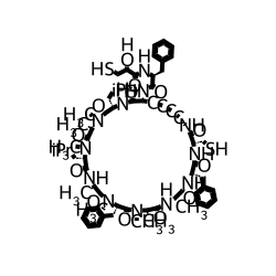 CC(C)C[C@@H]1NC(=O)[C@H](NC(=O)[C@H](Cc2ccccc2)NC(=O)C(O)CS)CCCCNC(=O)[C@H](CS)NC(=O)[C@H](Cc2ccccc2)NC(=O)[C@H](C)NC(=O)[C@H](C)N(C)C(=O)[C@H](Cc2ccccc2)N(C)C(=O)[C@H](C)NC(=O)[C@H](CC(C)C)N(C)C(=O)[C@H](C)N(C)C1=O